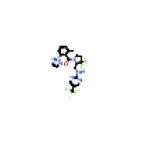 Cc1cccc(-n2nccn2)c1C(=O)N1CCC(F)(F)C1CNc1ncc(C(F)(F)F)cn1